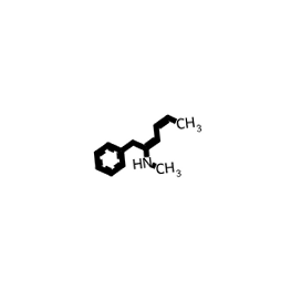 C/C=C\C=C(/Cc1ccccc1)NC